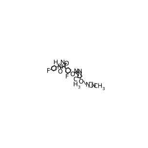 Cc1c(OCCN2CCN(C)CC2)cn2ncnc(Oc3ccc(C(C(N)=O)C(=O)Nc4ccc(F)cc4)cc3F)c12